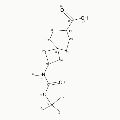 CN(C(=O)OC(C)(C)C)C1CC2(CCC(C(=O)O)CC2)C1